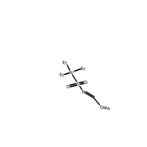 CC[N+](CC)(CC)S(=O)(=O)N=COC